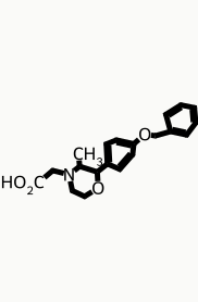 CC1C(c2ccc(OCc3ccccc3)cc2)OCCN1CC(=O)O